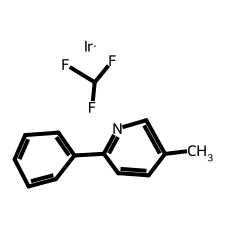 Cc1ccc(-c2ccccc2)nc1.FC(F)F.[Ir]